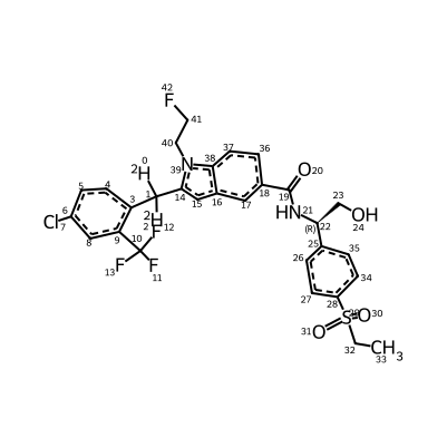 [2H]C([2H])(c1ccc(Cl)cc1C(F)(F)F)c1cc2cc(C(=O)N[C@@H](CO)c3ccc(S(=O)(=O)CC)cc3)ccc2n1CCF